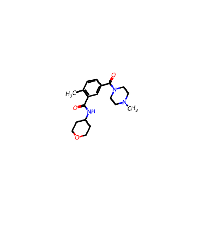 Cc1ccc(C(=O)N2CCN(C)CC2)cc1C(=O)NC1CCOCC1